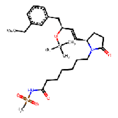 COCc1cccc(C[C@@H](/C=C/[C@H]2CCC(=O)N2CCCCCCC(=O)NS(C)(=O)=O)O[Si](C)(C)C(C)(C)C)c1